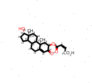 C[C@]12CC(OC(=O)/C=C\C(=O)O)C(=O)C=C1CCC1C2CC[C@@]2(C)C1CC[C@@H]2O